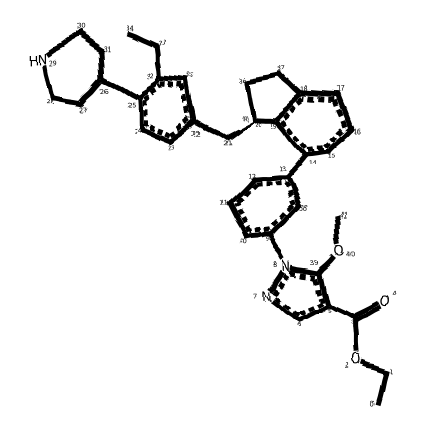 CCOC(=O)c1cnn(-c2cccc(-c3cccc4c3[C@@H](Cc3ccc(C5CCNCC5)c(CC)c3)CC4)c2)c1OC